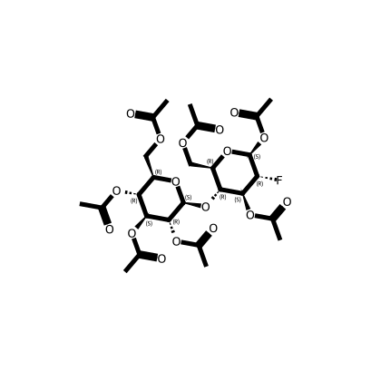 CC(=O)OC[C@H]1O[C@@H](O[C@H]2[C@H](OC(C)=O)[C@@H](F)[C@H](OC(C)=O)O[C@@H]2COC(C)=O)[C@H](OC(C)=O)[C@@H](OC(C)=O)[C@@H]1OC(C)=O